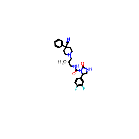 C[C@@H](CNC(=O)N1C(=O)NCC1c1ccc(F)c(F)c1)CN1CCC(C#N)(c2ccccc2)CC1